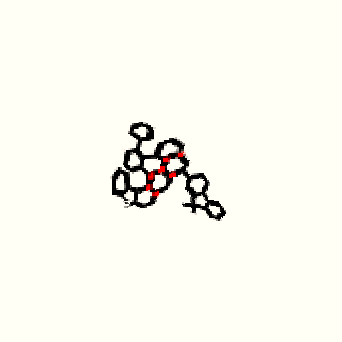 CC1(C)c2ccccc2-c2ccc(-c3cccc(N(c4cccc(-c5ccccc5)c4-c4ccccc4-c4ccccc4)c4cccc5sc6ccccc6c45)c3)cc21